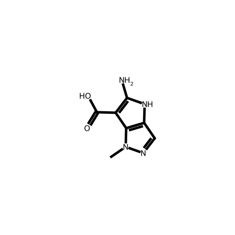 Cn1ncc2[nH]c(N)c(C(=O)O)c21